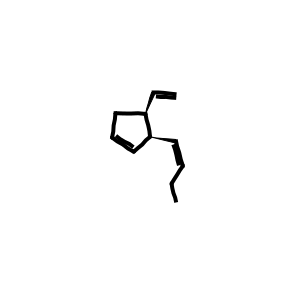 C=C[C@@H]1CC=C[C@@H]1/C=C\CC